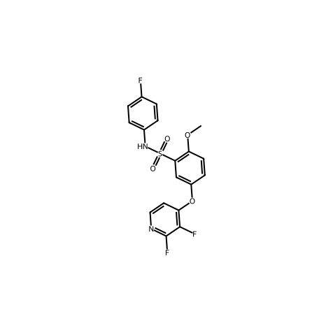 COc1ccc(Oc2ccnc(F)c2F)cc1S(=O)(=O)Nc1ccc(F)cc1